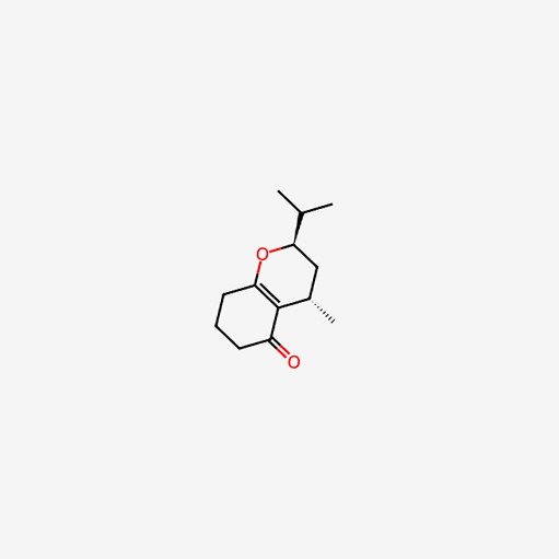 CC(C)[C@H]1C[C@H](C)C2=C(CCCC2=O)O1